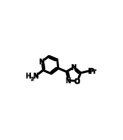 CC(C)c1nc(-c2ccnc(N)c2)no1